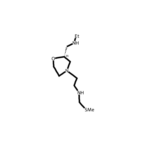 CCNC[C@@H]1CN(CCNCSC)CCO1